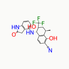 C[C@@H]1C[C@](O)(C(F)(F)F)[C@@H](Nc2cccc3c2CC(=O)N3)c2ccc(C#N)c(O)c21